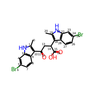 Cc1[nH]c2cc(Br)ccc2c1C(=O)CC(C(=O)O)c1c(C)[nH]c2cc(Br)ccc12